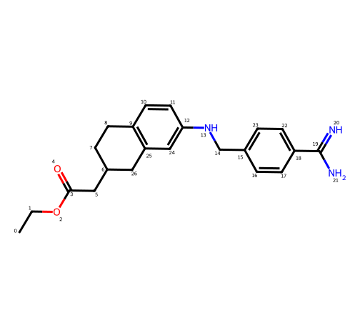 CCOC(=O)CC1CCc2ccc(NCc3ccc(C(=N)N)cc3)cc2C1